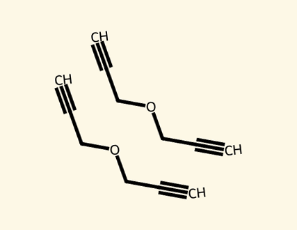 C#CCOCC#C.C#CCOCC#C